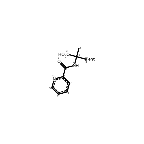 CCCC(C)C(C)(NC(=O)c1ccccn1)C(=O)O